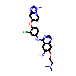 CN(C)CCOc1cc2ncnc(Nc3ccc(Oc4ccn5c(c4)nc[n+]5C)c(Cl)c3)c2cc1N